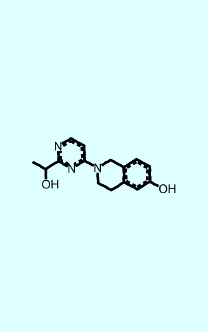 CC(O)c1nccc(N2CCc3cc(O)ccc3C2)n1